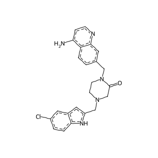 Nc1ccnc2cc(CN3CCN(Cc4cc5cc(Cl)ccc5[nH]4)CC3=O)ccc12